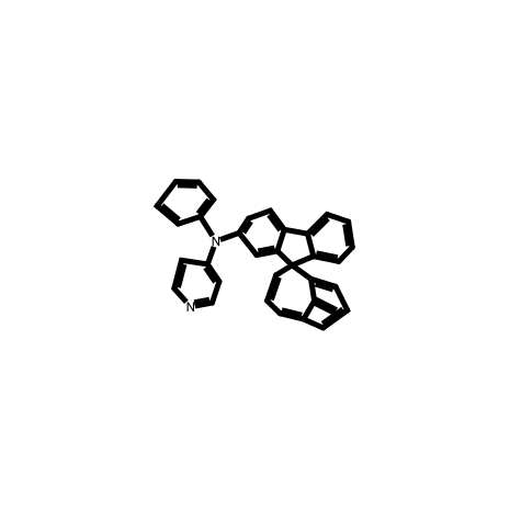 C=c1c2cccc1=CC=CC21c2ccccc2-c2ccc(N(c3ccccc3)c3ccncc3)cc21